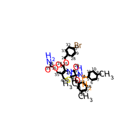 CO[C@@]1(N[PH2](c2ccc(C)cc2)c2ccc(C)cc2)C(=O)N2C(C(=O)OCc3ccc(Br)cc3)=C(COC(N)=O)CS[C@H]21